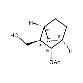 CC(=O)O[C@@H]1[C@@H](CO)[C@H]2CC[C@@H]1O2